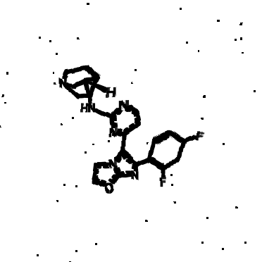 FC1=C(c2nc3occn3c2-c2ccnc(N[C@@H]3CN4CCC3CC4)n2)C=CC(F)C1